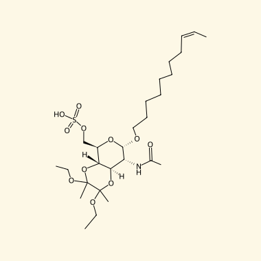 C/C=C\CCCCCCCCO[C@H]1O[C@H](COS(=O)(=O)O)[C@H]2OC(C)(OCC)C(C)(OCC)O[C@@H]2[C@H]1NC(C)=O